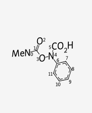 CNC(=O)ON(C(=O)O)c1ccccc1